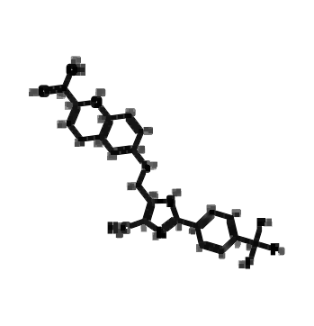 Cc1nc(-c2ccc(C(F)(F)F)cc2)sc1CSc1ccc2c(c1)CC=C(C(=O)O)O2